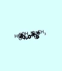 CON=C(c1ccco1)c1nc(-c2ccc(CN3CCC(C(=O)O)(C(=O)O)CC3)cc2)no1